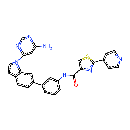 Nc1cc(-n2ccc3ccc(-c4cccc(NC(=O)c5csc(-c6ccncc6)n5)c4)cc32)ncn1